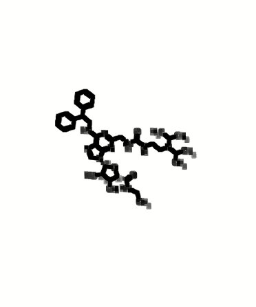 CCNC(=O)[C@H]1O[C@@H](n2cnc3c(NCC(c4ccccc4)c4ccccc4)nc(C[AsH]C(=O)NCCN(C(C)C)C(C)C)nc32)[C@H](O)[C@@H]1O